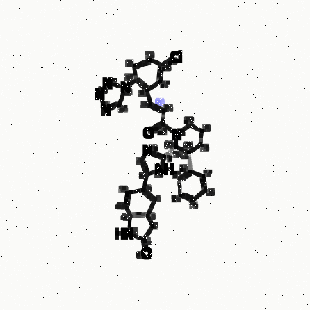 O=C1Cc2cc(-c3cnc([C@H]4[C@@H](c5ccccc5)CCCN4C(=O)/C=C/c4cc(Cl)ccc4-n4cnnn4)[nH]3)ccc2N1